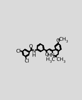 COc1ccc2c(c1)C(=CC(=O)c1cccc(NC(=O)c3cc(Cl)cc(Cl)c3)c1)NC(C)(C)C2